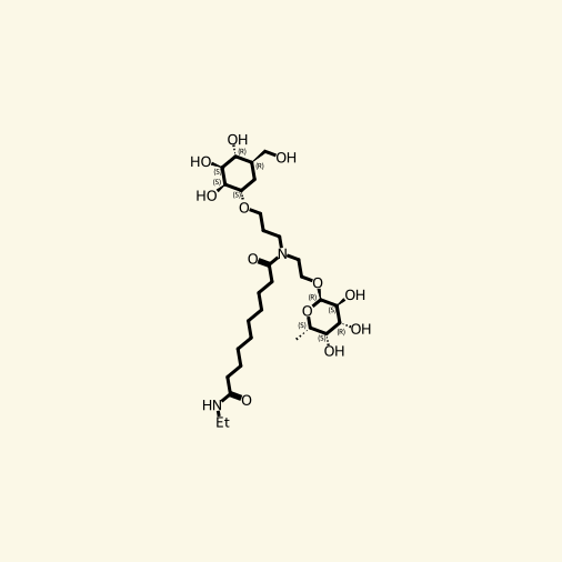 CCNC(=O)CCCCCCCCC(=O)N(CCCO[C@H]1C[C@H](CO)[C@@H](O)[C@H](O)[C@@H]1O)CCO[C@@H]1O[C@@H](C)[C@@H](O)[C@@H](O)[C@@H]1O